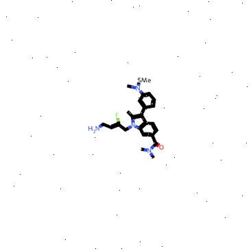 CSN(C)c1cccc(-c2c(C)n(C/C(F)=C/CN)c3cc(C(=O)N(C)C)ccc23)c1